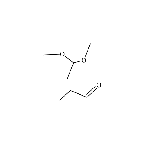 CCC=O.COC(C)OC